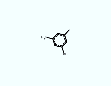 Bc1cc(B)cc(C)c1